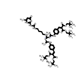 C=C(/N=C(\N=C(/N)Nc1ccc(C=C(C(=O)OCC(C)(C)C)C(=O)OCC(C)(C)C)cc1)NCCCCNC(=O)Nc1nc(=O)cc(C)[nH]1)Nc1ccc(C=C(C(=O)OCC(C)(C)C)C(=O)OCC(C)(C)C)cc1